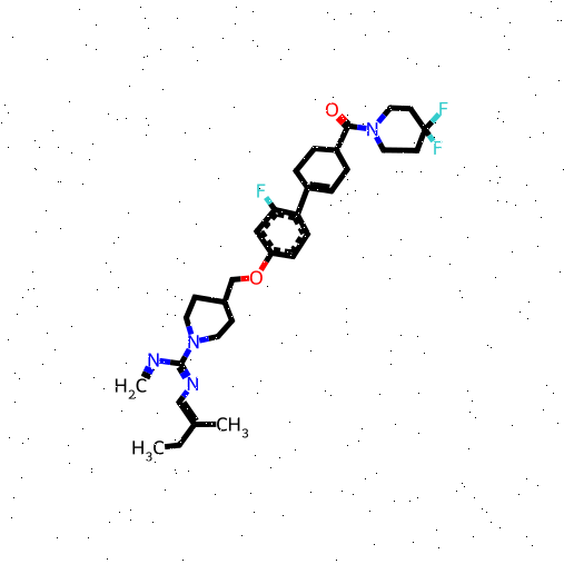 C=N/C(=N\C=C(/C)CC)N1CCC(COc2ccc(C3=CCC(C(=O)N4CCC(F)(F)CC4)CC3)c(F)c2)CC1